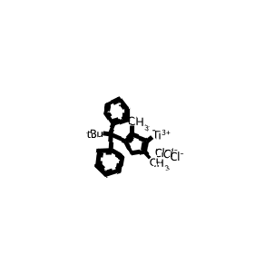 CC1=[C]([Ti+3])C(C)=C(C(c2ccccc2)(c2ccccc2)C(C)(C)C)C1.[Cl-].[Cl-].[Cl-]